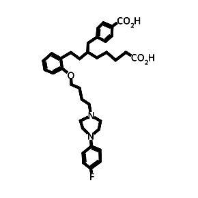 O=C(O)CCCCC(CCc1ccccc1OCCCCN1CCN(c2ccc(F)cc2)CC1)Cc1ccc(C(=O)O)cc1